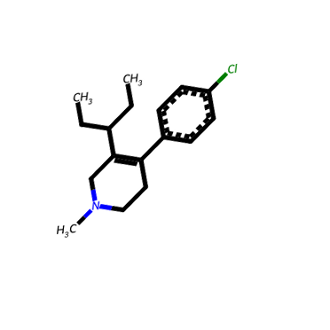 CCC(CC)C1=C(c2ccc(Cl)cc2)CCN(C)C1